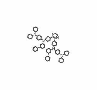 c1ccc(-c2cccc(N(c3ccc(-c4nccnc4-c4ccc(N(c5ccc(N(c6ccccc6)c6ccccc6)cc5)c5cccc(-c6ccccc6)c5)cc4)cc3)c3ccc(N(c4ccccc4)c4ccccc4)cc3)c2)cc1